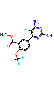 COC(=O)c1cc(-c2nc(N)nc(N)c2F)ccc1OC(F)(F)F